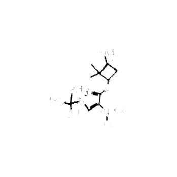 BC(B)(O)n1cc([N+](=O)[O-])c(OC2CC(O)C2(C)C)n1